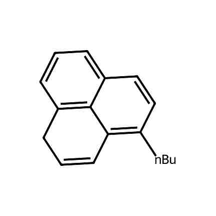 CCCCc1ccc2cccc3c2c1C=CC3